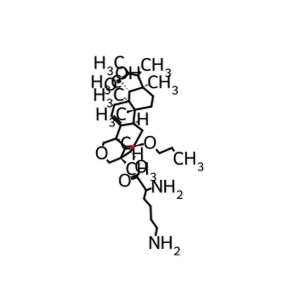 CCCO[C@@H]1C[C@@]23COC[C@](C)([C@@H]2CC[C@H]2C3=CC[C@@]3(C)[C@H](C(=O)O)[C@@](C)([C@H](C)C(C)C)CC[C@]23C)[C@H]1OC(=O)C(N)CCCCN